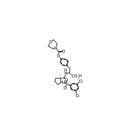 C[C@@]1(C(=O)NC(Cc2ccc(OC(=O)N3CCOCC3)cc2)C(=O)O)CCCN1S(=O)(=O)c1cc(Cl)cc(Cl)c1